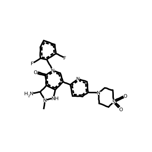 CN1Nc2c(-c3ccc(N4CCS(=O)(=O)CC4)cn3)cn(-c3c(F)cccc3F)c(=O)c2C1N